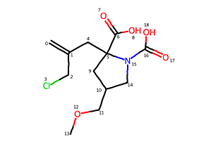 C=C(CCl)CC1(C(=O)O)CC(COC)CN1C(=O)O